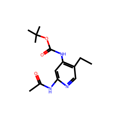 CCc1cnc(NC(C)=O)cc1NC(=O)OC(C)(C)C